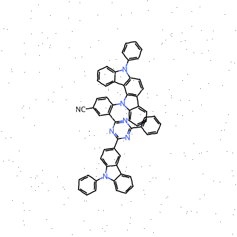 N#Cc1ccc(-n2c3ccccc3c3ccc4c(c5ccccc5n4-c4ccccc4)c32)c(-c2nc(-c3ccccc3)nc(-c3ccc4c(c3)c3ccccc3n4-c3ccccc3)n2)c1